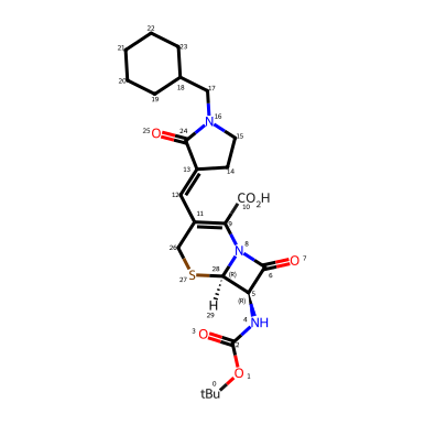 CC(C)(C)OC(=O)N[C@@H]1C(=O)N2C(C(=O)O)=C(C=C3CCN(CC4CCCCC4)C3=O)CS[C@H]12